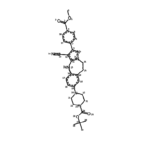 COC(=O)c1ccc(-c2nn3c(c2C#N)Nc2ccc(N4CCN(C(=O)OC(C)(C)C)CC4)cc2CC3)cc1